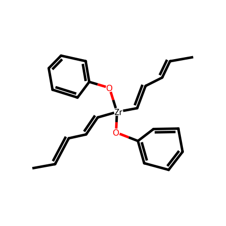 CC=CC=[CH][Zr]([CH]=CC=CC)([O]c1ccccc1)[O]c1ccccc1